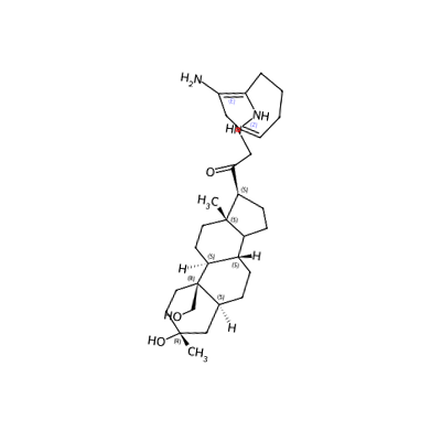 C[C@@]1(O)CC[C@@]2(CO)[C@@H](CC[C@H]3C4CC[C@H](C(=O)CNN/C5=C(/N)C/C=C\CCC5)[C@@]4(C)CC[C@@H]32)C1